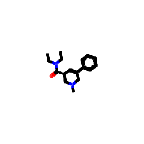 CCN(CC)C(=O)[C@H]1C=C(c2ccccc2)CN(C)C1